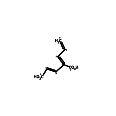 C=CC=C(C=CC(=O)O)C(=O)O